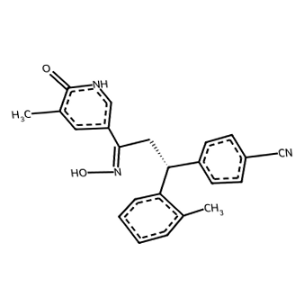 Cc1ccccc1[C@H](C/C(=N/O)c1c[nH]c(=O)c(C)c1)c1ccc(C#N)cc1